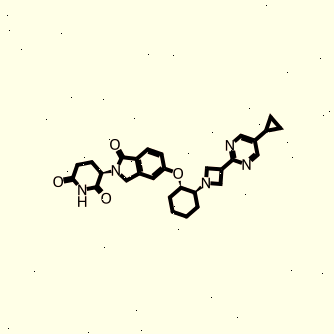 O=C1CC[C@@H](N2Cc3cc(O[C@H]4CCCC[C@@H]4N4CC(c5ncc(C6CC6)cn5)C4)ccc3C2=O)C(=O)N1